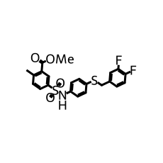 COC(=O)c1cc(S(=O)(=O)Nc2ccc(SCc3ccc(F)c(F)c3)cc2)ccc1C